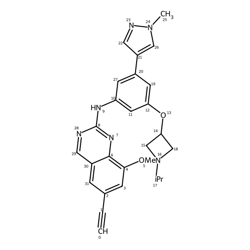 C#Cc1cc(OC)c2nc(Nc3cc(OC4CN(C(C)C)C4)cc(-c4cnn(C)c4)c3)ncc2c1